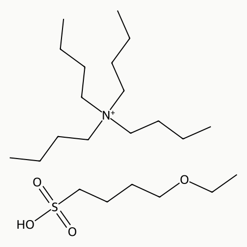 CCCC[N+](CCCC)(CCCC)CCCC.CCOCCCCS(=O)(=O)O